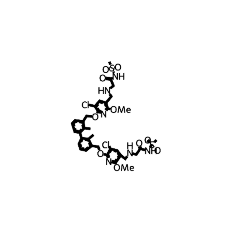 COc1nc(OCc2cccc(-c3cccc(COc4nc(OC)c(CNCC(=O)NS(C)(=O)=O)cc4Cl)c3C)c2C)c(Cl)cc1CNCC(=O)NS(C)(=O)=O